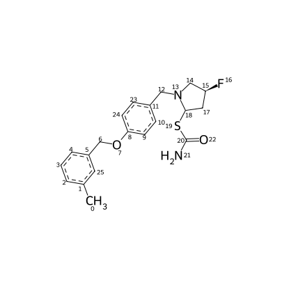 Cc1cccc(COc2ccc(CN3C[C@@H](F)CC3SC(N)=O)cc2)c1